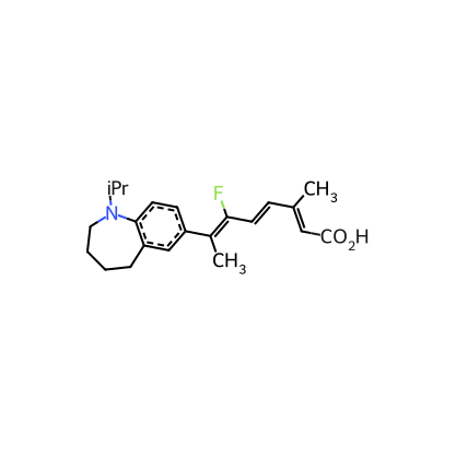 CC(C=CC(F)=C(C)c1ccc2c(c1)CCCCN2C(C)C)=CC(=O)O